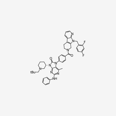 Cc1nc(Nc2ccccc2)nc2c1n(-c1ccc(C(=O)N3CCc4c(n(Cc5ccc(F)cc5F)c5ncccc45)C3)cc1)c(=O)n2[C@H]1CCCN(CC(C)(C)C)C1